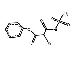 CCC(C(=O)NS(C)(=O)=O)C(=O)Oc1ccccc1